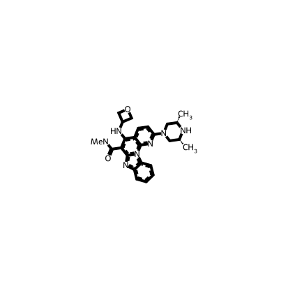 CNC(=O)c1c(NC2COC2)c2ccc(N3C[C@@H](C)N[C@@H](C)C3)nc2n2c1nc1ccccc12